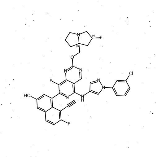 C#Cc1c(F)ccc2cc(O)cc(-c3nc(Nc4cnn(-c5cccc(Cl)c5)c4)c4cnc(OC[C@@]56CCCN5C[C@H](F)C6)nc4c3F)c12